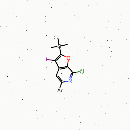 CC(=O)c1cc2c(I)c([Si](C)(C)C)oc2c(Cl)n1